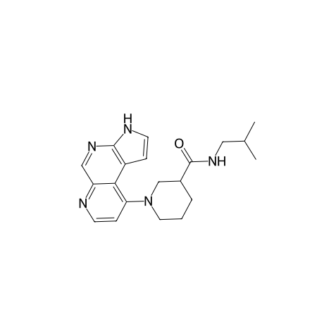 CC(C)CNC(=O)C1CCCN(c2ccnc3cnc4[nH]ccc4c23)C1